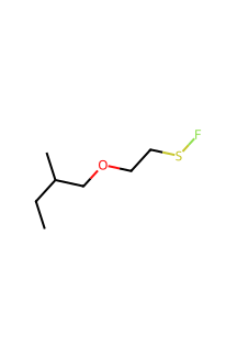 CCC(C)COCCSF